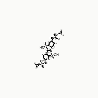 O=S(=O)(O)c1cc(NC(=S)NC2CC2)ccc1/C=C/c1ccc(NS(=O)(=O)C2CC2)cc1S(=O)(=O)O